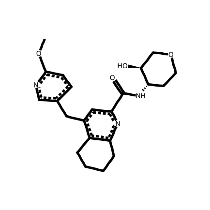 COc1ccc(Cc2cc(C(=O)N[C@H]3CCOC[C@@H]3O)nc3c2CCCC3)cn1